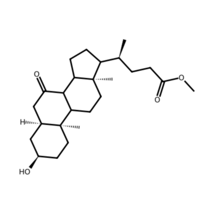 COC(=O)CC[C@H](C)C1CCC2C3C(=O)C[C@@H]4C[C@H](O)CC[C@]4(C)C3CC[C@@]21C